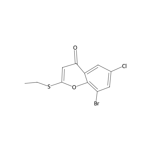 CCSc1cc(=O)c2cc(Cl)cc(Br)c2o1